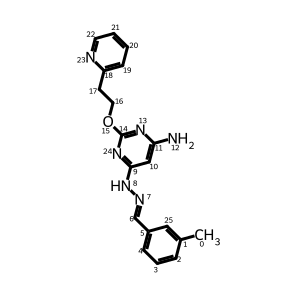 Cc1cccc(C=NNc2cc(N)nc(OCCc3ccccn3)n2)c1